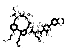 Cc1nc(-c2ccc3c(c2)OCCO3)nc(C)c1C(=O)N[C@@H](CCN)C(=O)N(C)[C@@H]1C(=O)N[C@@H](C)C(=O)N[C@H](C(=O)NCC#N)Cc2ccc(OCCN)c(c2)-c2cc1ccc2OCCN